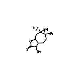 CC(C)N1C(=S)OC2CC3(C)BC3(C(C)C)CCC21